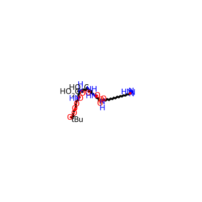 CC(C)(C)C(=O)CCOCCOCCOCCNC(=O)CCC(NC(=O)CCC(NC(=O)CCCNC(=O)CCCS(=O)(=O)NC(=O)CCCCCCCCCCCCCCCc1nnn[nH]1)C(=O)O)C(=O)O